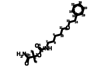 CC(C)(OC(=O)NCCC[CH]COCCc1ccccc1)C(N)=O